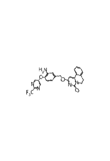 Nc1cc(COc2cc3n(c(=O)n2)CCc2ccccc2-3)ccc1Oc1cnc(C(F)(F)F)nc1